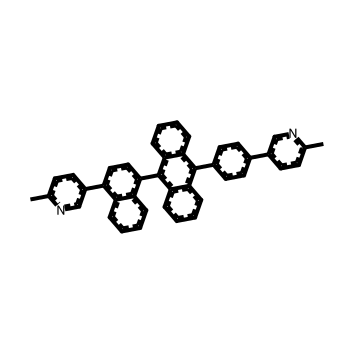 Cc1ccc(-c2ccc(-c3c4ccccc4c(-c4ccc(-c5ccc(C)nc5)c5ccccc45)c4ccccc34)cc2)cn1